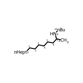 CCCCCCCCCCCCCC(C)NCCCC